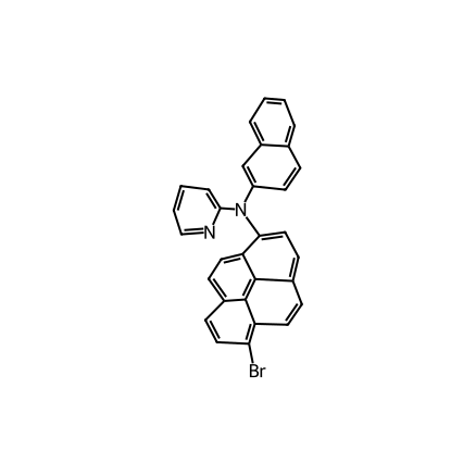 Brc1ccc2ccc3c(N(c4ccc5ccccc5c4)c4ccccn4)ccc4ccc1c2c43